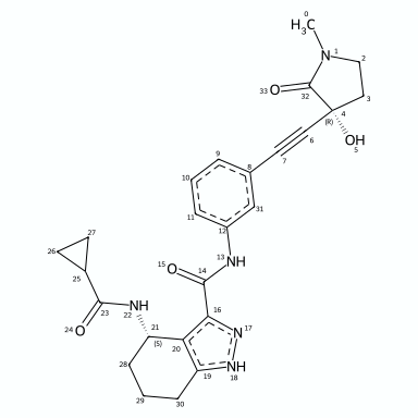 CN1CC[C@@](O)(C#Cc2cccc(NC(=O)c3n[nH]c4c3[C@@H](NC(=O)C3CC3)CCC4)c2)C1=O